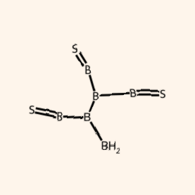 BB(B=S)B(B=S)B=S